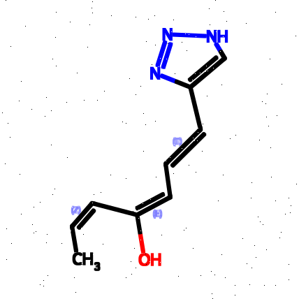 C\C=C/C(O)=C\C=C\c1c[nH]nn1